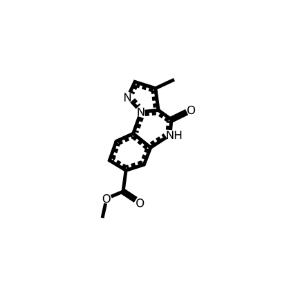 COC(=O)c1ccc2c(c1)[nH]c(=O)c1c(C)cnn12